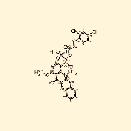 COc1cc2c(c3c1c(=O)c1cc4ccccc4cc1n3C)[C@H](O)[C@H](OC(=O)C=Cc1ccc(Cl)cc1Cl)C(C)(C)O2